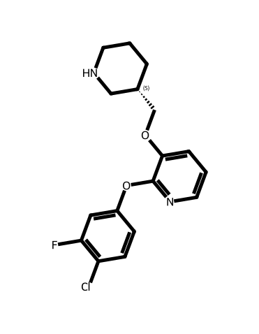 Fc1cc(Oc2ncccc2OC[C@H]2CCCNC2)ccc1Cl